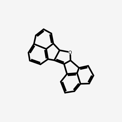 c1cc2c3c(cccc3c1)C1OC3C(=C21)c1cccc2cccc3c12